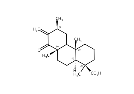 C=C1C(=O)[C@@]2(C)CC[C@@H]3[C@](C)(C(=O)O)CCC[C@@]3(C)C2C[C@@H]1C